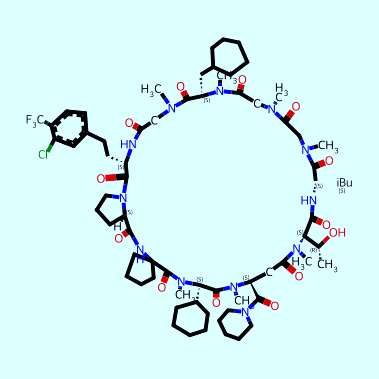 CC[C@H](C)[C@@H]1NC(=O)[C@H]([C@@H](C)O)N(C)C(=O)C[C@@H](C(=O)N2CCCCC2)N(C)C(=O)[C@H](C2CCCCC2)N(C)C(=O)C2(CCCC2)NC(=O)[C@@H]2CCCN2C(=O)[C@H](CCc2ccc(C(F)(F)F)c(Cl)c2)NC(=O)CN(C)C(=O)[C@H](CC2CCCCC2)N(C)C(=O)CN(C)C(=O)CN(C)C1=O